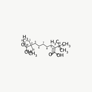 CCC(CC)(CCCCCC(C(=O)O)C(C)(C)C)C(=O)O